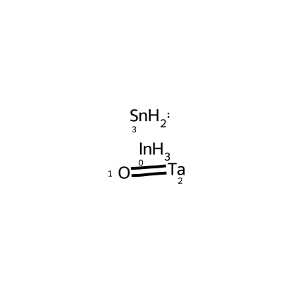 [InH3].[O]=[Ta].[SnH2]